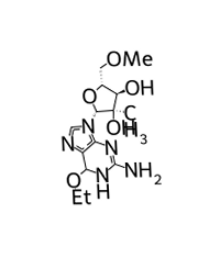 CCOC1NC(N)=Nc2c1ncn2[C@@H]1O[C@H](COC)[C@@H](O)[C@@]1(C)O